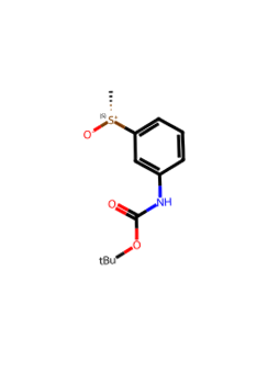 C[S@@+]([O-])c1cccc(NC(=O)OC(C)(C)C)c1